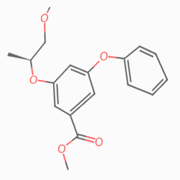 COC[C@H](C)Oc1cc(Oc2ccccc2)cc(C(=O)OC)c1